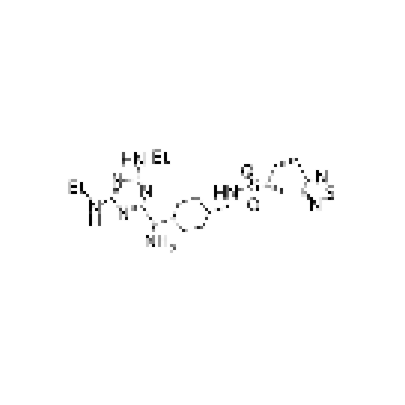 CCNc1nc(NCC)nc(C(N)C2CCC(CNS(=O)(=O)c3ccc4nsnc4c3)CC2)n1